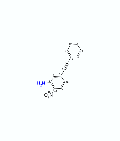 Nc1cc(C#Cc2[c]cccc2)ccc1[N+](=O)[O-]